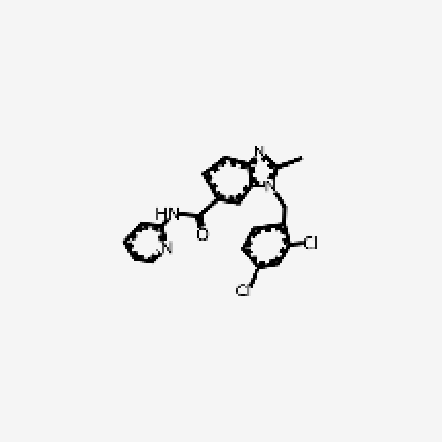 Cc1nc2ccc(C(=O)Nc3ccccn3)cc2n1Cc1ccc(Cl)cc1Cl